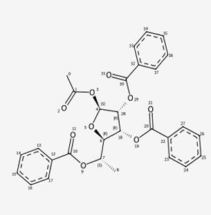 CC(=O)O[C@@H]1O[C@H]([C@H](C)OC(=O)c2ccccc2)[C@@H](OC(=O)c2ccccc2)[C@H]1OC(=O)c1ccccc1